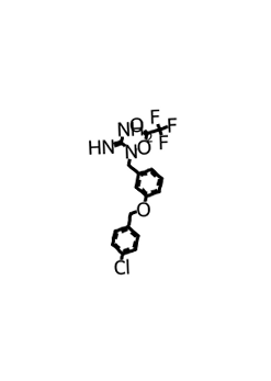 N=C(N)N(Cc1cccc(OCc2ccc(Cl)cc2)c1)OC(=O)C(F)(F)F